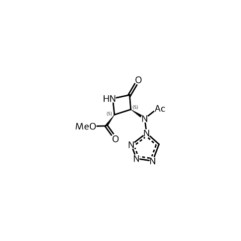 COC(=O)[C@H]1NC(=O)[C@H]1N(C(C)=O)n1cnnn1